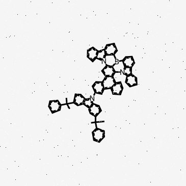 CC(C)(c1ccccc1)c1ccc2c(c1)c1cc(C(C)(C)c3ccccc3)ccc1n2-c1ccc2c(c1)c1ccccc1c1c3c4c(cc21)-n1c2ccccc2c2cccc(c21)B4c1cccc2c4ccccc4n-3c12